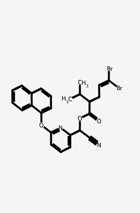 CC(C)C(CC=C(Br)Br)C(=O)OC(C#N)c1cccc(Oc2cccc3ccccc23)n1